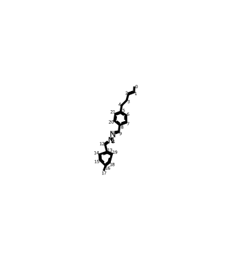 CC=CCCc1ccc(C=NN=Cc2ccc(C)cc2)cc1